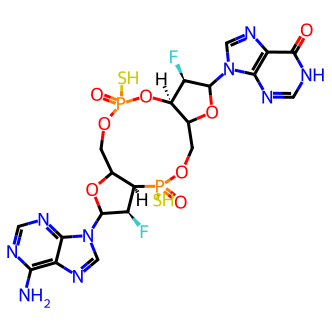 Nc1ncnc2c1ncn2C1OC2COP(=O)(S)O[C@@H]3C(COP(=O)(S)[C@H]2[C@H]1F)OC(n1cnc2c(=O)[nH]cnc21)[C@@H]3F